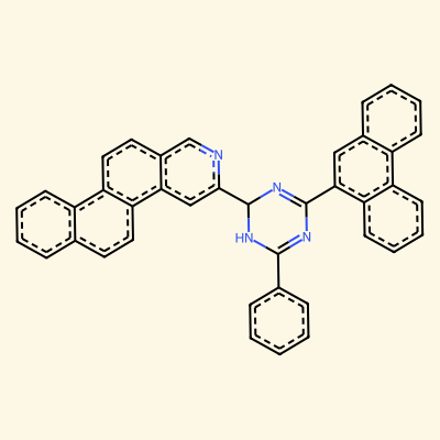 c1ccc(C2=NC(c3cc4ccccc4c4ccccc34)=NC(c3cc4c(ccc5c6ccccc6ccc45)cn3)N2)cc1